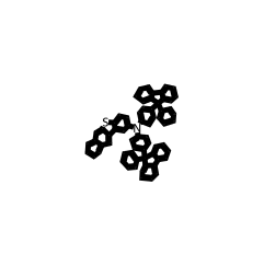 c1ccc(C2(c3ccc(N(c4ccc(C5(c6ccccc6)c6ccccc6-c6ccccc65)cc4)c4ccc5sc6cc7ccccc7cc6c5c4)cc3)c3ccccc3-c3ccccc32)cc1